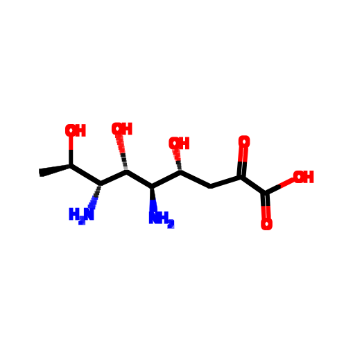 C[C@@H](O)[C@@H](N)[C@H](O)[C@H](N)[C@H](O)CC(=O)C(=O)O